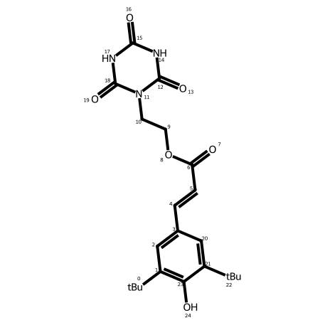 CC(C)(C)c1cc(C=CC(=O)OCCn2c(=O)[nH]c(=O)[nH]c2=O)cc(C(C)(C)C)c1O